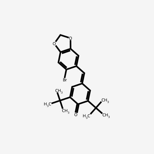 CC(C)(C)C1=CC(=Cc2cc3c(cc2Br)OCO3)C=C(C(C)(C)C)C1=O